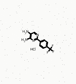 Cl.Nc1cnc(-c2ccc(C(F)(F)F)cc2)nc1N